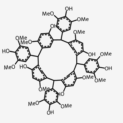 COc1cc(O)c2cc1C(c1cc(OC)c(O)c(OC)c1)c1cc(c(OC)cc1O)C(c1cc(OC)c(O)c(OC)c1)c1cc(c(OC)cc1O)C(c1cc(OC)c(O)c(OC)c1)c1cc(c(OC)cc1O)C2c1cc(OC)c(O)c(OC)c1